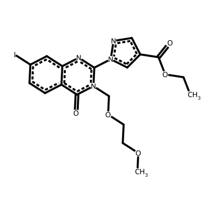 CCOC(=O)c1cnn(-c2nc3cc(I)ccc3c(=O)n2COCCOC)c1